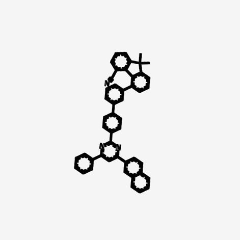 CC1(C)c2cccc(C#N)c2-c2c(-c3cccc(-c4ccc(-c5nc(-c6ccccc6)cc(-c6ccc7ccccc7c6)n5)cc4)c3)cccc21